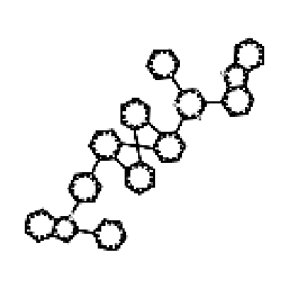 c1ccc(-c2nc(-c3cccc4c3-c3ccccc3C43c4ccccc4-c4c(-c5ccc(-n6c(-c7ccccc7)cc7ccccc76)cc5)cccc43)nc(-c3cccc4c3oc3ccccc34)n2)cc1